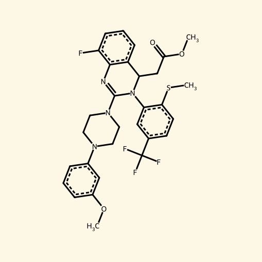 COC(=O)CC1c2cccc(F)c2N=C(N2CCN(c3cccc(OC)c3)CC2)N1c1cc(C(F)(F)F)ccc1SC